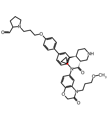 COCCCN1C(=O)COc2ccc(N(C(=O)[C@H]3CNCC[C@@H]3c3cccc(-c4ccc(OCCCN5CCCC5C=O)cc4)c3)C3CC3)cc21